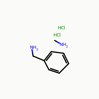 CN.Cl.Cl.NCc1ccccc1